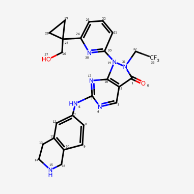 O=c1c2cnc(Nc3ccc4c(c3)CCNC4)nc2n(-c2cccc(C3(CO)CC3)n2)n1CC(F)(F)F